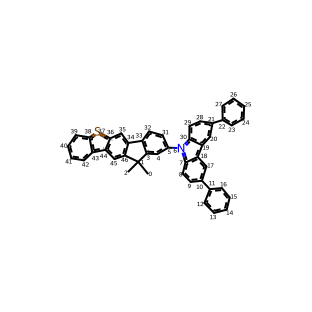 CC1(C)c2cc(-n3c4ccc(-c5ccccc5)cc4c4cc(-c5ccccc5)ccc43)ccc2-c2cc3sc4ccccc4c3cc21